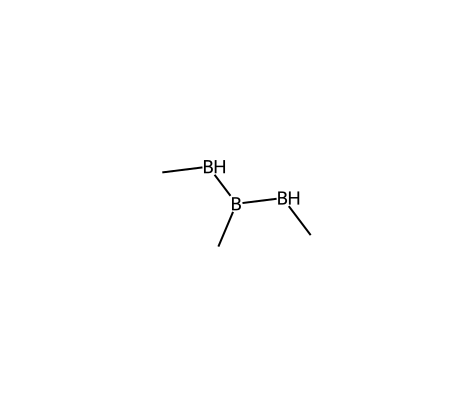 CBB(C)BC